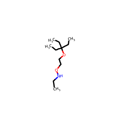 CCNOCCOC(CC)(CC)CC